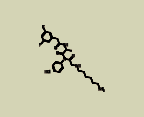 C[C@H](NC(=O)Cc1cc(F)cc(F)c1)C(=O)N(C(=O)CNCCCCCCN)c1ccccc1.Cl